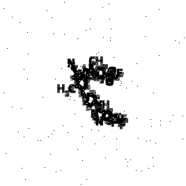 C#C[C@@](C)(Cn1c(C#N)cc2c(C)c(CN3CCC(Nc4ncnc5sc(CC(F)(F)F)cc45)CC3)ccc21)N1CCN(S(=O)(=O)CF)CC1